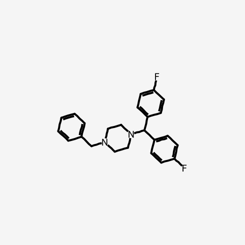 Fc1ccc(C(c2ccc(F)cc2)N2CCN(Cc3ccccc3)CC2)cc1